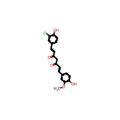 COc1cc(/C=C/C(=O)CC(=O)/C=C/c2ccc(O)c(Cl)c2)ccc1O